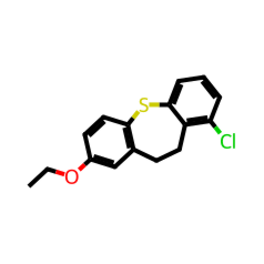 CCOc1ccc2c(c1)CCc1c(Cl)cccc1S2